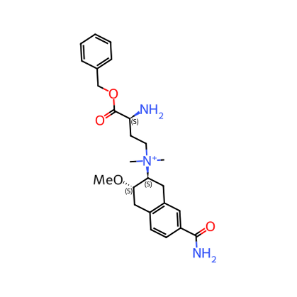 CO[C@H]1Cc2ccc(C(N)=O)cc2C[C@@H]1[N+](C)(C)CC[C@H](N)C(=O)OCc1ccccc1